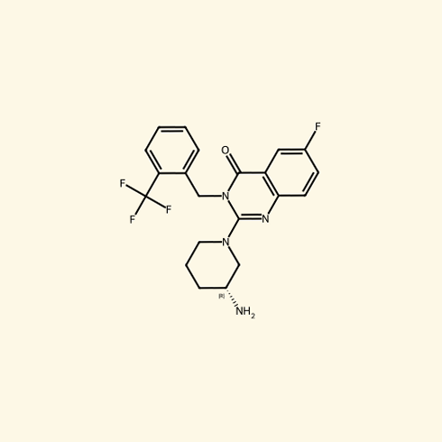 N[C@@H]1CCCN(c2nc3ccc(F)cc3c(=O)n2Cc2ccccc2C(F)(F)F)C1